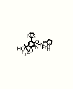 CCN(CC1CCCN1)c1nc2c(OC(F)(F)F)c(C(C)(C)O)cc(-c3nccs3)c2o1